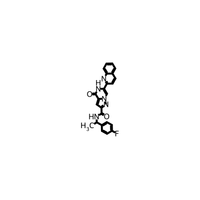 CC(NC(=O)c1cc2c(=O)[nH]c(-c3ccc4ccccc4n3)cn2n1)c1ccc(F)cc1